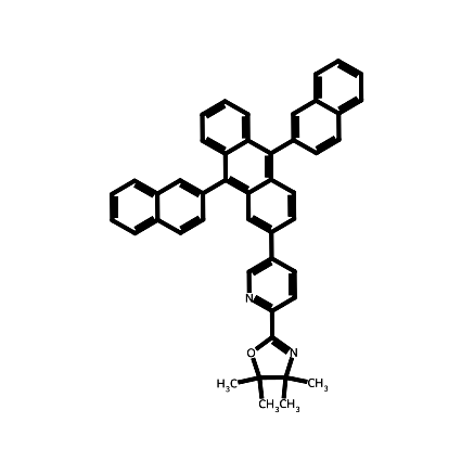 CC1(C)N=C(c2ccc(-c3ccc4c(-c5ccc6ccccc6c5)c5ccccc5c(-c5ccc6ccccc6c5)c4c3)cn2)OC1(C)C